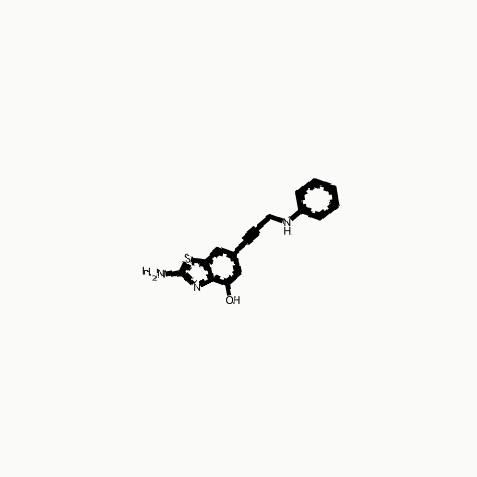 Nc1nc2c(O)cc(C#CCNc3ccccc3)cc2s1